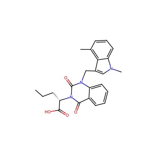 CCC[C@@H](C(=O)O)n1c(=O)c2ccccc2n(Cc2cn(C)c3cccc(C)c23)c1=O